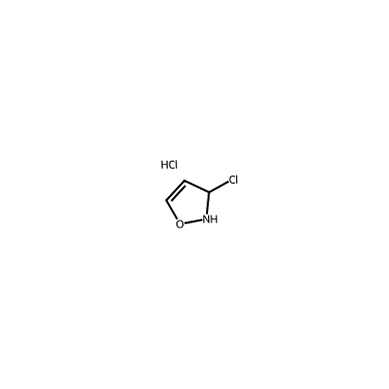 Cl.ClC1C=CON1